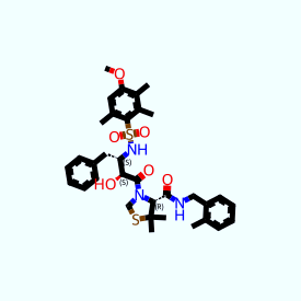 COc1cc(C)c(S(=O)(=O)N[C@@H](Cc2ccccc2)[C@H](O)C(=O)N2CSC(C)(C)[C@H]2C(=O)NCc2ccccc2C)c(C)c1C